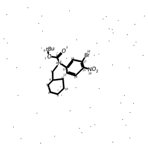 CC(C)(C)OC(=O)N(CC1CCCCC1)c1ccc([N+](=O)[O-])c(Br)c1